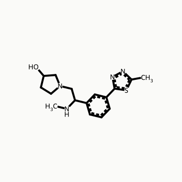 CNC(CN1CCC(O)C1)c1cccc(-c2nnc(C)s2)c1